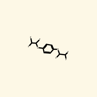 FC(F)C(F)Oc1ccc(OC(F)C(F)F)cc1